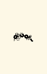 CCCNC(=O)c1ccc(-c2cnc3c(c2)OC(c2c(Cl)ccc(F)c2Cl)N3)cc1